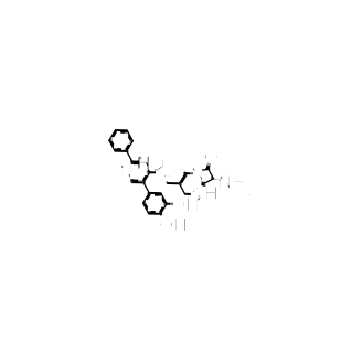 N[C@@H]1C(=O)N2C(C(=O)O)=C(CSc3nc(-c4ccccc4)ncc3-c3ccc(O)c(O)c3)CS[C@H]12